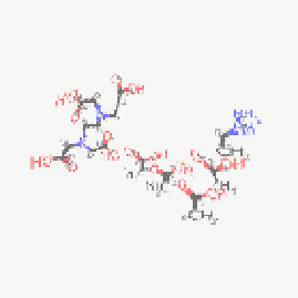 CC(=O)O.CC(=O)O.CC(=O)O.CC(=O)O.CCNN.O=C(O)CN(CCN(CC(=O)O)CC(=O)O)CC(=O)O